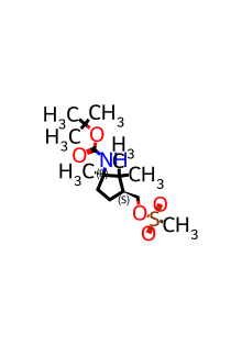 CC(C)(C)OC(=O)N[C@]1(C)CC[C@H](COS(C)(=O)=O)C1(C)C